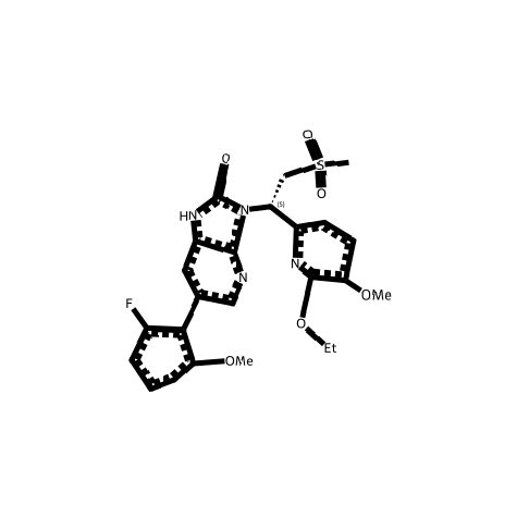 CCOc1nc([C@@H](CS(C)(=O)=O)n2c(=O)[nH]c3cc(-c4c(F)cccc4OC)cnc32)ccc1OC